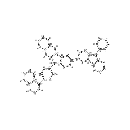 c1ccc(-n2c3ccccc3c3cc(-c4ccc5c(c4)c4cc6ccccc6cc4n5-c4cc5c(cn4)-c4cccc6nccc-5c46)ccc32)cc1